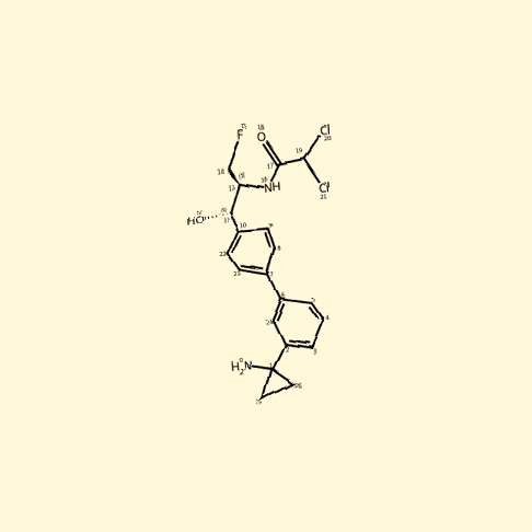 NC1(c2cccc(-c3ccc([C@H](O)[C@@H](CF)NC(=O)C(Cl)Cl)cc3)c2)CC1